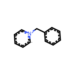 [c]1cccc[n+]1Cc1ccccc1